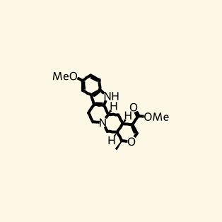 COC(=O)C1=CO[C@@H](C)[C@H]2CN3CCc4c([nH]c5ccc(OC)cc45)[C@@H]3C[C@H]12